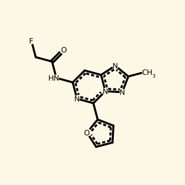 Cc1nc2cc(NC(=O)CF)nc(-c3ccco3)n2n1